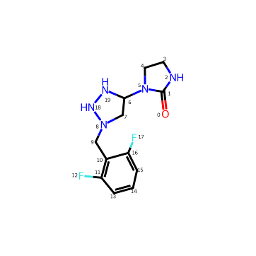 O=C1NCCN1C1CN(Cc2c(F)cccc2F)NN1